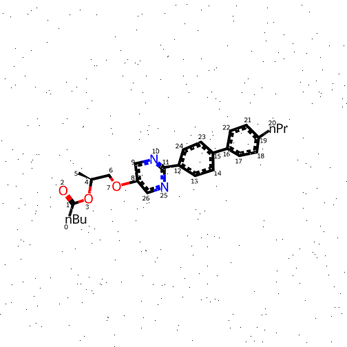 CCCCC(=O)O[C@@H](C)COc1cnc(-c2ccc(-c3ccc(CCC)cc3)cc2)nc1